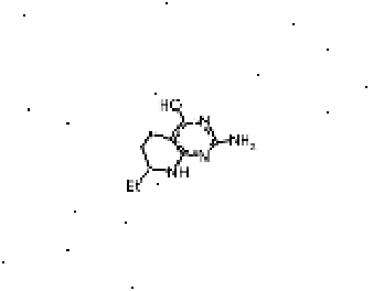 CCC1CCc2c(O)nc(N)nc2N1